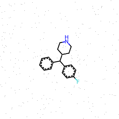 Fc1ccc(C(c2ccccc2)C2CCNCC2)cc1